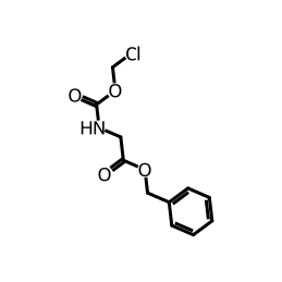 O=C(CNC(=O)OCCl)OCc1ccccc1